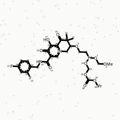 COCOP(CCOC1Cn2cc(C(=O)NCc3ccc(F)cc3F)c(=O)c(O)c2C(=O)C1(C)C)OCOC(=O)OC(C)C